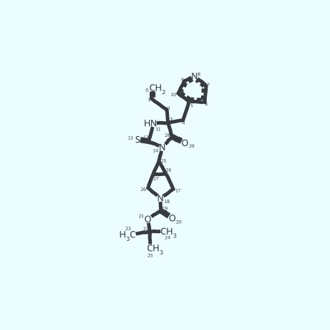 C=CCC1(Cc2ccncc2)NC(=S)N(C2C3CN(C(=O)OC(C)(C)C)CC32)C1=O